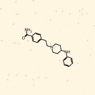 NC(=O)c1ccc(CCN2CCC(Nc3ccccc3)CC2)cc1